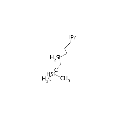 CC(C)CCC[SiH2]CC[SiH](C)C